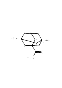 NC(=O)C12CC3C[C@@](F)(C1)C[C@](F)(C3)C2